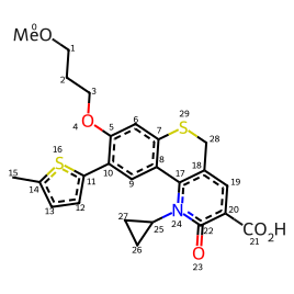 COCCCOc1cc2c(cc1-c1ccc(C)s1)-c1c(cc(C(=O)O)c(=O)n1C1CC1)CS2